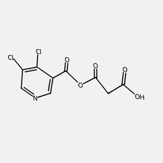 O=C(O)CC(=O)OC(=O)c1cncc(Cl)c1Cl